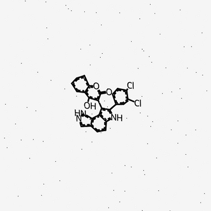 O=c1oc2ccccc2c(O)c1-c1c(-c2ccc(Cl)c(Cl)c2)[nH]c2ccc3cn[nH]c3c12